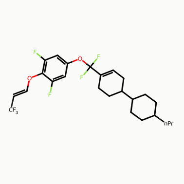 CCCC1CCC(C2CC=C(C(F)(F)Oc3cc(F)c(O/C=C/C(F)(F)F)c(F)c3)CC2)CC1